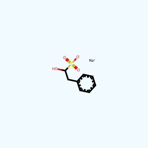 O=S(=O)([O-])C(O)Cc1ccccc1.[Na+]